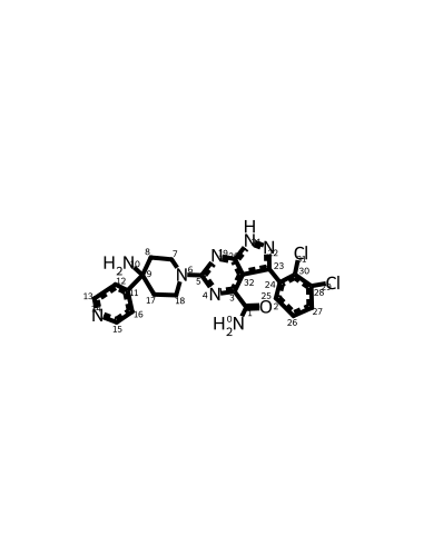 NC(=O)c1nc(N2CCC(N)(c3ccncc3)CC2)nc2[nH]nc(-c3cccc(Cl)c3Cl)c12